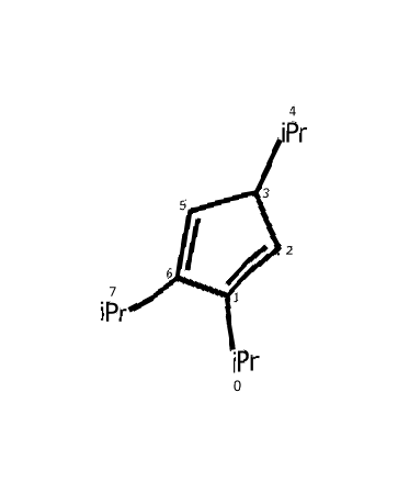 CC(C)C1=[C]C(C(C)C)C=C1C(C)C